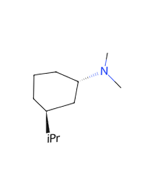 CC(C)[C@H]1CCC[C@H](N(C)C)C1